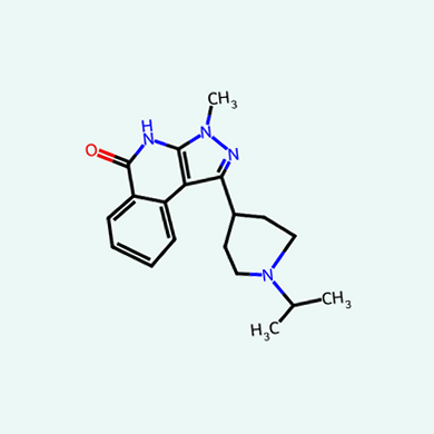 CC(C)N1CCC(c2nn(C)c3[nH]c(=O)c4ccccc4c23)CC1